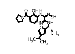 CC[C@@H](NC(=N)/C(=N\S)Nc1cccc(C(=O)N2CCCC2)c1O)c1cc(C(C)C)co1